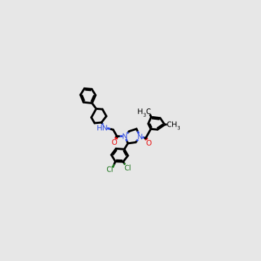 Cc1cc(C)cc(C(=O)N2CCN(C(=O)CNC3CCC(c4ccccc4)CC3)C(c3ccc(Cl)c(Cl)c3)C2)c1